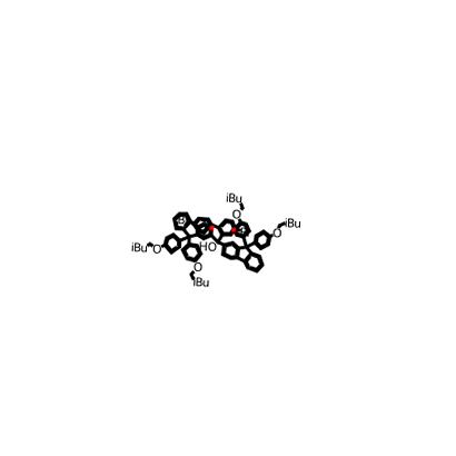 CCC(C)COc1ccc(C2(c3ccc(OCC(C)CC)cc3)c3ccccc3-c3ccc(C(O)(c4ccc5c(c4)C(c4ccc(OCC(C)CC)cc4)(c4ccc(OCC(C)CC)cc4)c4ccccc4-5)c4cc(Br)ccc4-c4ccc(Br)cc4)cc32)cc1